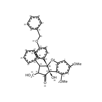 COc1cc(OC)c2c(c1)O[C@@]1(c3ccc(OCc4ccccc4)cc3)C(c3ccccc3)C(C(=O)O)C(=O)[C@@]21O